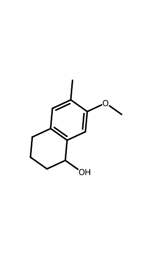 COc1cc2c(cc1C)CCCC2O